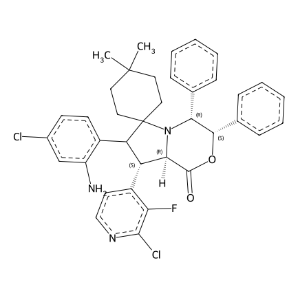 CC1(C)CCC2(CC1)C(c1ccc(Cl)cc1N)[C@@H](c1ccnc(Cl)c1F)[C@@H]1C(=O)O[C@@H](c3ccccc3)[C@@H](c3ccccc3)N12